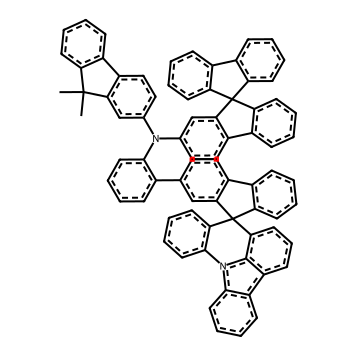 CC1(C)c2ccccc2-c2ccc(N(c3ccc4c(c3)C3(c5ccccc5-c5ccccc53)c3ccccc3-4)c3ccccc3-c3ccc4c(c3)C3(c5ccccc5-4)c4ccccc4-n4c5ccccc5c5cccc3c54)cc21